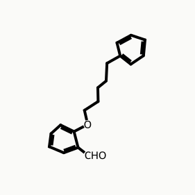 O=Cc1ccccc1OCCCCCc1ccccc1